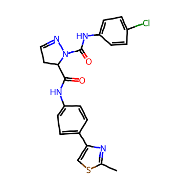 Cc1nc(-c2ccc(NC(=O)C3CC=NN3C(=O)Nc3ccc(Cl)cc3)cc2)cs1